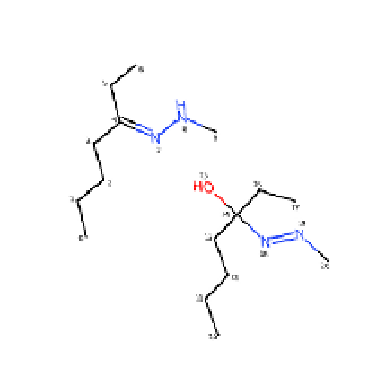 CCCCC(CC)=NNC.CCCCC(O)(CC)N=NC